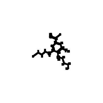 CCCCOc1cc(C(C)=O)cc(F)c1OCCCC